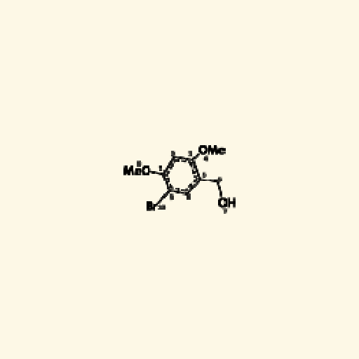 COc1cc(OC)c(CO)cc1Br